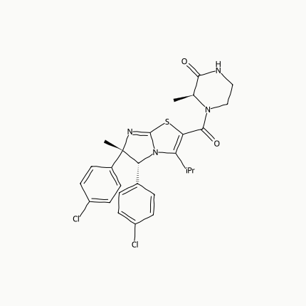 CC(C)C1=C(C(=O)N2CCNC(=O)[C@@H]2C)SC2=N[C@@](C)(c3ccc(Cl)cc3)[C@@H](c3ccc(Cl)cc3)N21